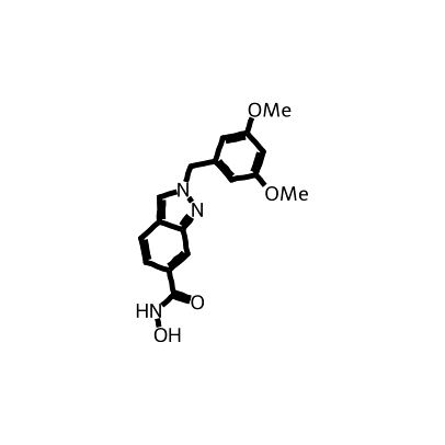 COc1cc(Cn2cc3ccc(C(=O)NO)cc3n2)cc(OC)c1